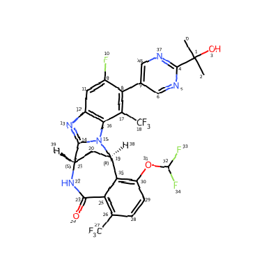 CC(C)(O)c1ncc(-c2c(F)cc3nc4n(c3c2C(F)(F)F)[C@@H]2C[C@@H]4NC(=O)c3c(C(F)(F)F)ccc(OC(F)F)c32)cn1